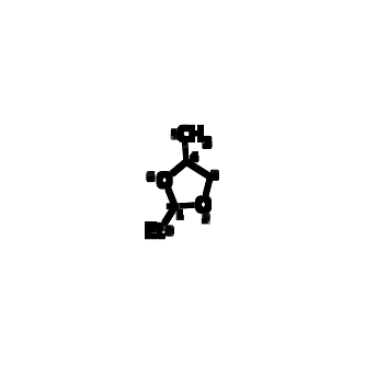 CC[C]1OCC(C)O1